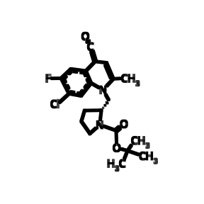 CC1=CC(=C=O)c2cc(F)c(Cl)cc2N1C[C@H]1CCCN1C(=O)OC(C)(C)C